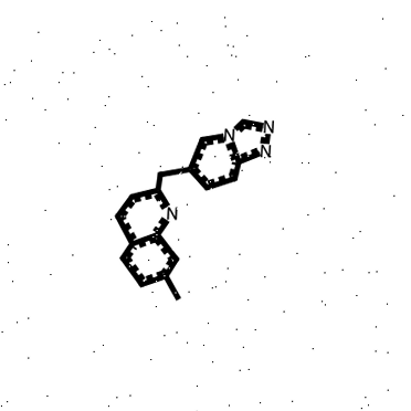 Cc1ccc2ccc(Cc3ccc4nncn4c3)nc2c1